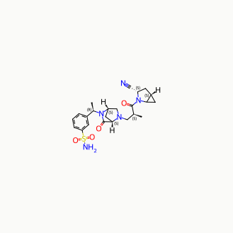 C[C@H](c1cccc(S(N)(=O)=O)c1)N1C(=O)[C@@H]2C[C@H]1CN2C[C@H](C)C(=O)N1C2C[C@H]2C[C@H]1C#N